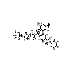 O=C(Nc1ncc(N2CCOCC2)s1)C(Oc1ccc(F)cc1F)c1ccc(S(=O)(=O)N2CCCCC2)cc1